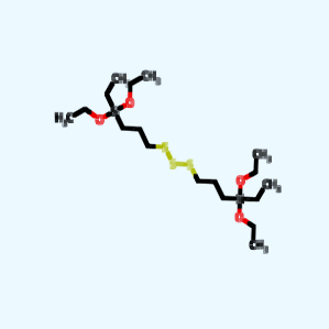 CCO[Si](CC)(CCCSSSCCC[Si](CC)(OCC)OCC)OCC